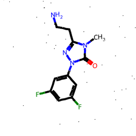 Cn1c(CCN)nn(-c2cc(F)[c]c(F)c2)c1=O